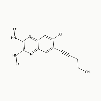 CCNc1nc2cc(Cl)c(C#CCCC#N)cc2nc1NCC